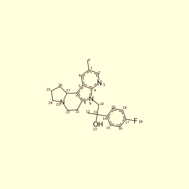 Cc1cnc2c(c1)c1c(n2CC(C)(O)c2ccc(F)cc2)CCN2CCCC12